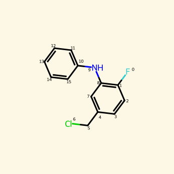 Fc1ccc(CCl)cc1Nc1ccccc1